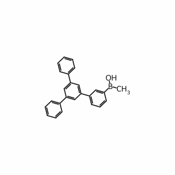 CB(O)c1cccc(-c2cc(-c3ccccc3)cc(-c3ccccc3)c2)c1